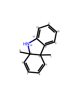 CC12C=CC=CC1(C)c1ccccc1N2